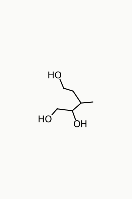 CC(CCO)C(O)CO